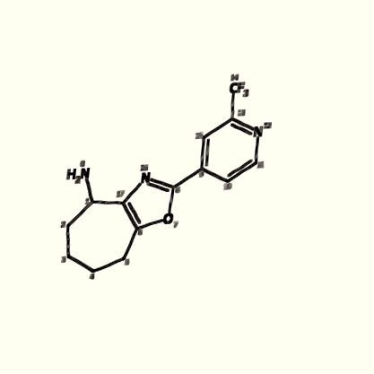 NC1CCCCc2oc(-c3ccnc(C(F)(F)F)c3)nc21